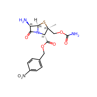 C[C@@]1(COC(N)=O)S[C@@H]2[C@H](N)C(=O)N2[C@H]1C(=O)OCc1ccc([N+](=O)[O-])cc1